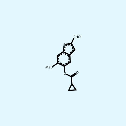 COc1cc2sc(C=O)cc2cc1OC(=O)C1CC1